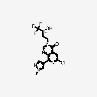 Cn1cc(-c2nc(Cl)cc3c(=O)n(CC[C@@H](O)C(F)(F)F)cnc23)cn1